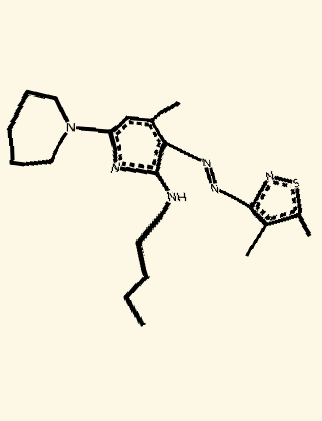 CCCCNc1nc(N2CCCCC2)cc(C)c1N=Nc1nsc(C)c1C